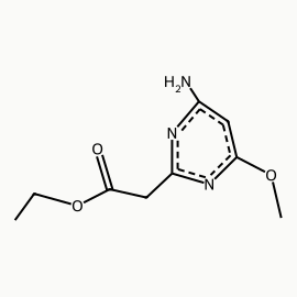 CCOC(=O)Cc1nc(N)cc(OC)n1